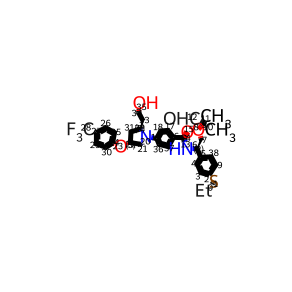 CCSc1ccc([C@H](COC(C)(C)C=O)NC(=O)c2ccc(N3C[C@@H](Oc4ccc(C(F)(F)F)cc4)C[C@H]3CCO)cc2)cc1